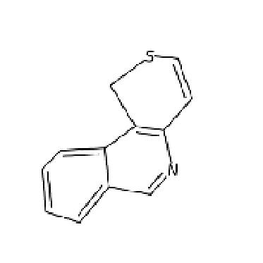 C1=Cc2ncc3ccccc3c2CS1